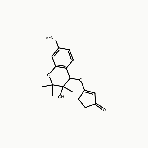 CC(=O)Nc1ccc2c(c1)OC(C)(C)C(C)(O)C2OC1=CC(=O)CC1